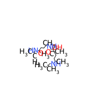 CC(C)CNC(C)CCC(C)(C)C(O)C(=O)NC(C)CCC(=O)NC(C)C